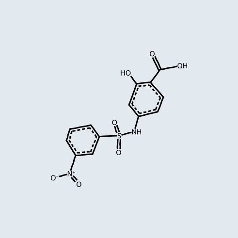 O=C(O)c1ccc(NS(=O)(=O)c2cccc([N+](=O)[O-])c2)cc1O